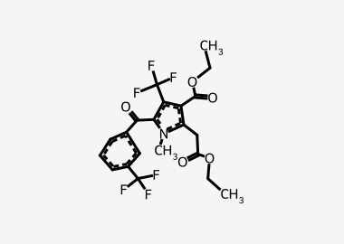 CCOC(=O)Cc1c(C(=O)OCC)c(C(F)(F)F)c(C(=O)c2cccc(C(F)(F)F)c2)n1C